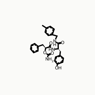 Cc1ccc(CNC(=O)[C@H](Cc2ccc(O)cc2)NC(=O)[C@H](Cc2ccccc2)OC(N)=O)cc1